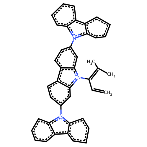 C=CC(=C(C)C)n1c2cc(-n3c4ccccc4c4ccccc43)ccc2c2ccc(-n3c4ccccc4c4ccccc43)cc21